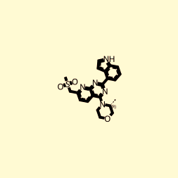 C[C@@H]1COCCN1c1nc(-c2cccc3[nH]ccc23)nc2nc(CS(C)(=O)=O)ccc12